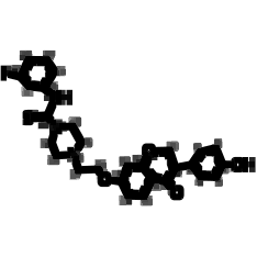 O=c1c(-c2ccc(O)cc2)coc2cc(OCCN3CCN(C(=S)Nc4cccc(F)c4)CC3)ccc12